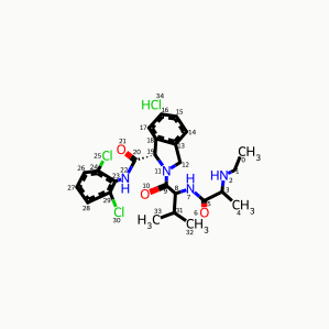 CCNC(C)C(=O)NC(C(=O)N1Cc2ccccc2[C@H]1C(=O)Nc1c(Cl)cccc1Cl)C(C)C.Cl